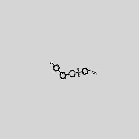 COc1ccc(S(=O)(=O)N2CCN(c3cc(-c4ccc(Cl)cc4)ncn3)CC2)cc1